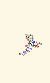 CCOC1CN(C2CCCCC2)c2cc(Oc3ccccc3)c(SCC(=O)NCC(=O)NCC(=O)O)cc2S(=O)(=O)C1